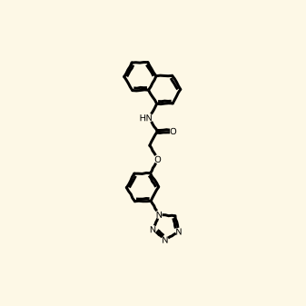 O=C(COc1cccc(-n2cnnn2)c1)Nc1cccc2ccccc12